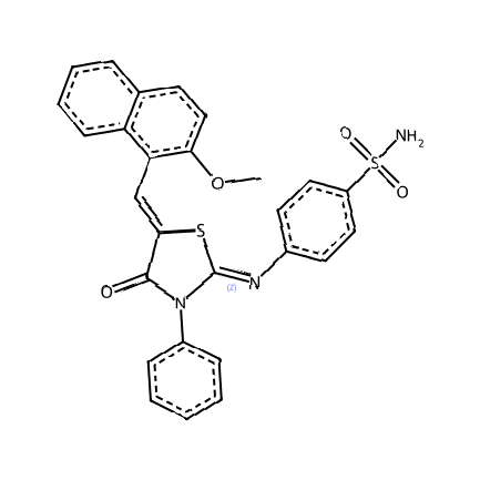 COc1ccc2ccccc2c1C=C1S/C(=N\c2ccc(S(N)(=O)=O)cc2)N(c2ccccc2)C1=O